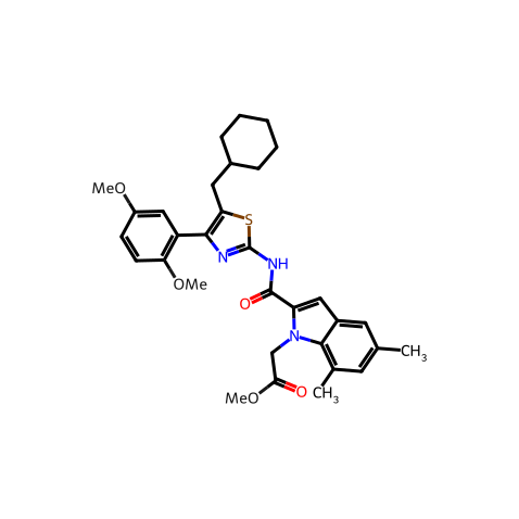 COC(=O)Cn1c(C(=O)Nc2nc(-c3cc(OC)ccc3OC)c(CC3CCCCC3)s2)cc2cc(C)cc(C)c21